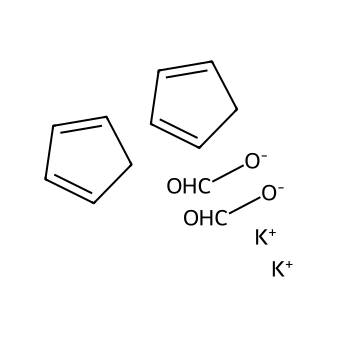 C1=CCC=C1.C1=CCC=C1.O=C[O-].O=C[O-].[K+].[K+]